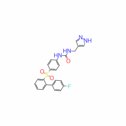 O=C(NCc1cn[nH]c1)Nc1ccc(S(=O)(=O)c2ccccc2-c2ccc(F)cc2)cc1